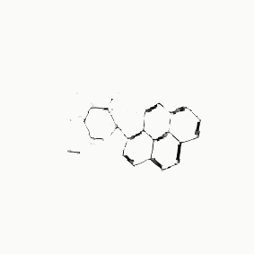 OC[C@H]1O[C@](O)(c2ccc3ccc4cccc5ccc2c3c45)[C@H](O)[C@@H](O)[C@H]1O